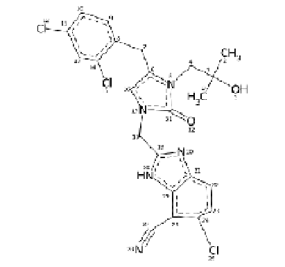 CC(C)(O)Cn1c(Cc2ccc(Cl)cc2Cl)cn(Cc2nc3ccc(Cl)c(C#N)c3[nH]2)c1=O